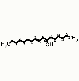 CCCCCCCC=CCC(O)CCCCCC